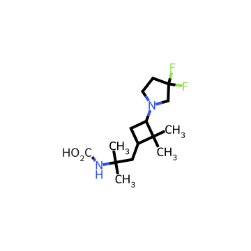 CC(C)(CC1CC(N2CCC(F)(F)C2)C1(C)C)NC(=O)O